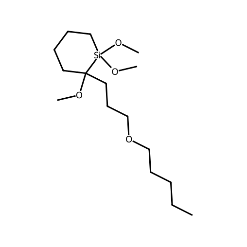 CCCCCOCCCC1(OC)CCCC[Si]1(OC)OC